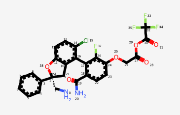 NC[C@@]1(c2ccccc2)Cc2c(ccc(Cl)c2-c2c(C(N)=O)ccc(OCC(=O)OC(=O)C(F)(F)F)c2F)O1